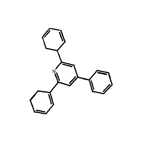 C1=CCCC(c2cc(-c3ccccc3)cc(C3C=CC=CC3)n2)=C1